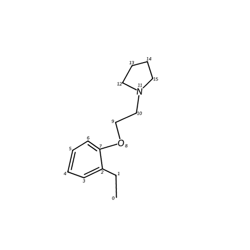 CCc1ccccc1OCCN1CCCC1